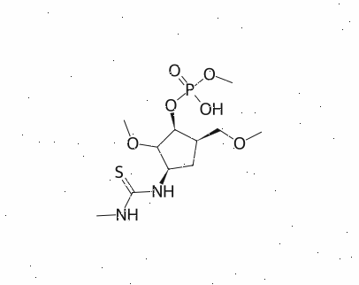 CNC(=S)N[C@@H]1C[C@H](COC)[C@H](OP(=O)(O)OC)C1OC